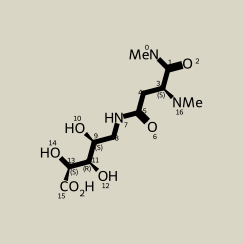 CNC(=O)[C@H](CC(=O)NC[C@H](O)[C@@H](O)[C@H](O)C(=O)O)NC